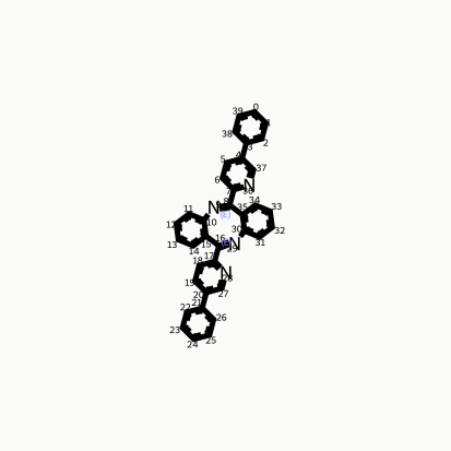 c1ccc(-c2ccc(/C3=N/c4ccccc4/C(c4ccc(-c5ccccc5)cn4)=N\c4ccccc43)nc2)cc1